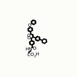 O=C(O)CCNC(=O)c1ccc(C(=O)/C(=C\C(=O)c2ccc(Oc3ccccc3)cc2)c2ccc(C3CCCCC3)cc2)cc1